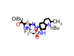 CCCCN1c2cc(NS(=O)(=O)CC(F)(F)F)c(N=Nc3nnc(C(=O)OCC(C)C)s3)cc2CCC1C